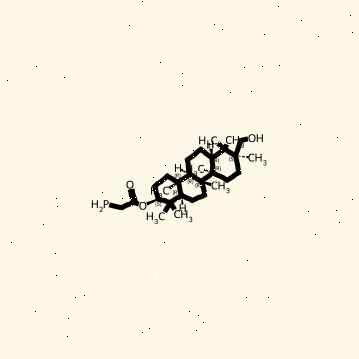 CC1(C)[C@@H](OC(=O)CP)CC[C@]2(C)[C@H]3CC[C@@H]4C(C)(C)[C@@](C)(CO)CC[C@@]4(C)[C@]3(C)CC[C@@H]12